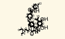 CCN(CC)CCNC(=O)c1nnc(-c2cc(C(C)C)c(O)cc2O)n1-c1ccc(CN2CCC(C(=O)NC3CCN(C)C3)CC2)cc1